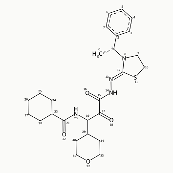 C[C@H](c1ccccc1)N1CCSC1=NNC(=O)C(=O)C(NC(=O)C1CCCCC1)C1CCOCC1